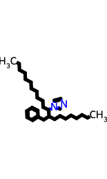 CCCCCCCCCCCC(C(CCCCCCCC)Cc1ccccc1)n1ccnc1